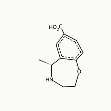 C[C@H]1NCCOc2ccc(C(=O)O)cc21